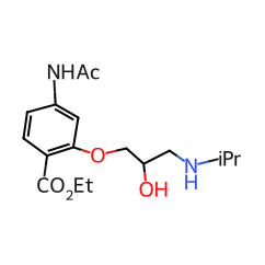 CCOC(=O)c1ccc(NC(C)=O)cc1OCC(O)CNC(C)C